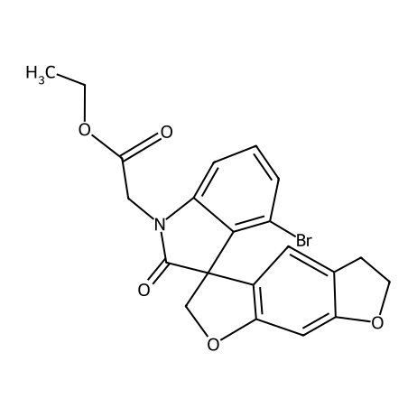 CCOC(=O)CN1C(=O)C2(COc3cc4c(cc32)CCO4)c2c(Br)cccc21